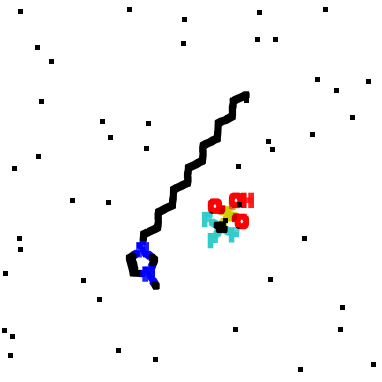 CCCCCCCCCCCCCCN1C=CN(C)C1.O=S(=O)(O)C(F)(F)F